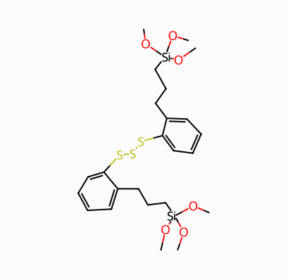 CO[Si](CCCc1ccccc1SSSc1ccccc1CCC[Si](OC)(OC)OC)(OC)OC